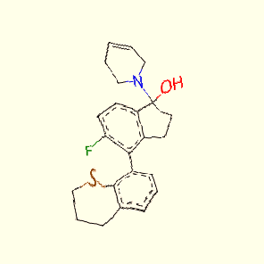 OC1(N2CC=CCC2)CCc2c1ccc(F)c2-c1cccc2c1SCCC2